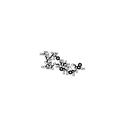 N=C(N)NCCC[C@@H](NC(=O)CCC(NC(=O)c1ccc(NCc2cnc3nc(N)[nH]c(=O)c3n2)cc1)C(=O)O)C(=O)N[C@H](CC(=O)O)C(=O)NC(CSSCCCNc1ccc2[nH]c(C(=O)Nc3ccc4[nH]c(C(=O)N5CC(CCl)c6c5cc(O)c5ccccc65)cc4c3)cc2c1)C(=O)O